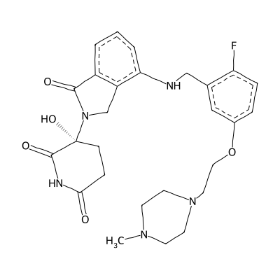 CN1CCN(CCOc2ccc(F)c(CNc3cccc4c3CN([C@@]3(O)CCC(=O)NC3=O)C4=O)c2)CC1